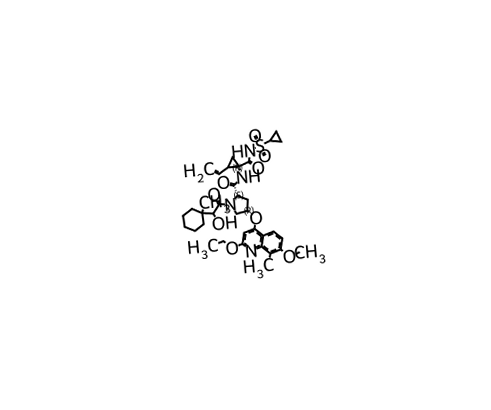 C=CC1C[C@]1(NC(=O)[C@@H]1C[C@@H](Oc2cc(OCC)nc3c(C)c(OC)ccc23)CN1C(=O)C(O)C1(C)CCCCC1)C(=O)NS(=O)(=O)C1CC1